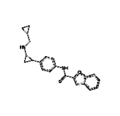 O=C(Nc1ccc(C2CC2NCC2CC2)cc1)c1cc2ccccc2o1